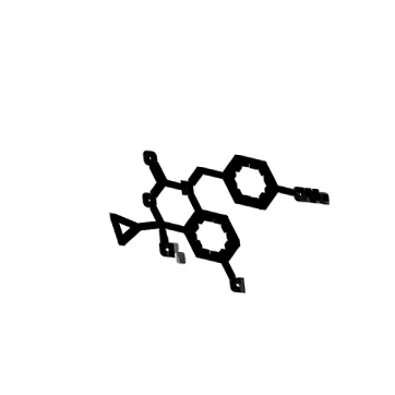 COc1ccc(CN2C(=O)O[C@](C3CC3)(C(F)(F)F)c3cc(Cl)ccc32)cc1